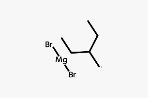 [Br][Mg][Br].[CH2]C(CC)CC